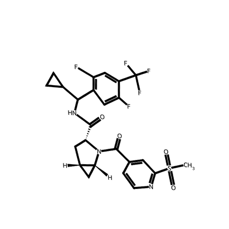 CS(=O)(=O)c1cc(C(=O)N2[C@@H](C(=O)NC(c3cc(F)c(C(F)(F)F)cc3F)C3CC3)C[C@H]3C[C@H]32)ccn1